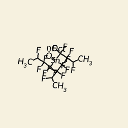 CCCCCCCC[O][Sn]([C](F)(F)C(F)(F)C(C)F)([C](F)(F)C(F)(F)C(C)F)[C](F)(F)C(F)(F)C(C)F